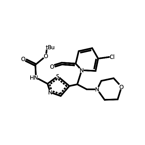 CC(C)(C)OC(=O)Nc1ncc(C(CN2CCOCC2)N2C=C(Cl)C=CC2=C=O)s1